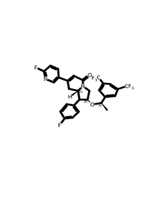 C[C@@H](O[C@H]1CN2C(=O)C=C(c3ccc(F)nc3)C[C@H]2C1c1ccc(F)cc1)c1cc(C(F)(F)F)cc(C(F)(F)F)c1